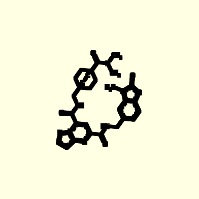 CN(C)C(=O)C12CCC(CNC(=O)c3cc(C(=O)NCc4ccc5oc(=O)n(C)c5c4)nc4ccnn34)(CC1)CC2